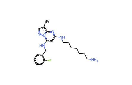 CC(C)c1cnn2c(NCc3ccccc3F)cc(NCCCCCCCN)nc12